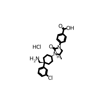 C[C@@H]1CN(c2ccc(C(=O)O)cc2)C(=O)N1[C@H]1CC[C@@](CN)(c2cccc(Cl)c2)CC1.Cl